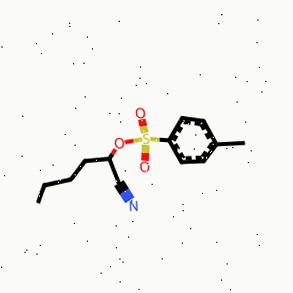 CCCCC(C#N)OS(=O)(=O)c1ccc(C)cc1